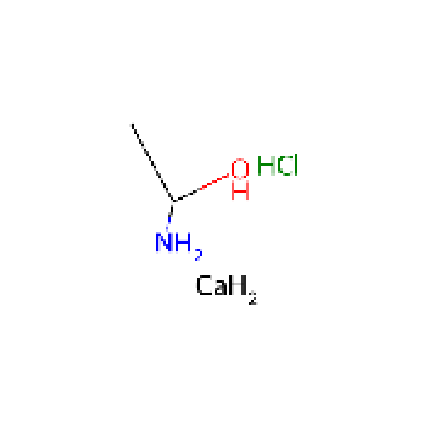 CC(N)O.Cl.[CaH2]